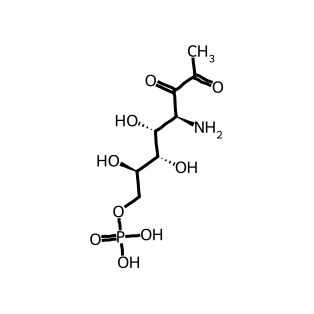 CC(=O)C(=O)[C@@H](N)[C@@H](O)[C@H](O)[C@H](O)COP(=O)(O)O